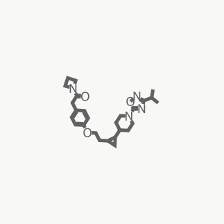 CC(C)c1noc(N2CCC(C3CC3CCOc3ccc(CC(=O)N4CCC4)cc3)CC2)n1